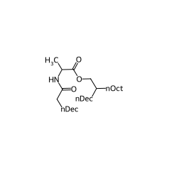 CCCCCCCCCCCC(=O)NC(C)C(=O)OCC(CCCCCCCC)CCCCCCCCCC